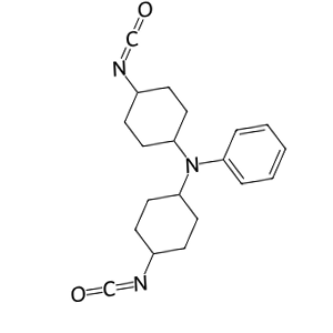 O=C=NC1CCC(N(c2ccccc2)C2CCC(N=C=O)CC2)CC1